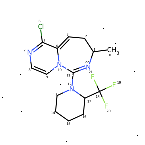 CC1CC=C2C(Cl)=NC=CN2C(N2CCCCC2C(F)(F)F)=N1